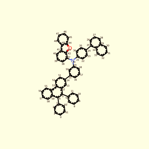 c1ccc(-c2c(-c3ccccc3)c3cc(-c4cccc(N(c5ccc(-c6cccc7ccccc67)cc5)c5cccc6c5oc5ccccc56)c4)ccc3c3ccccc23)cc1